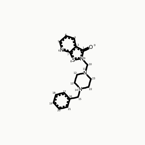 O=c1c2cccnc2sn1CN1CCN(Cc2ccccc2)CC1